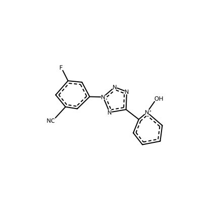 N#Cc1cc(F)cc(-n2nnc(-c3cccc[n+]3O)n2)c1